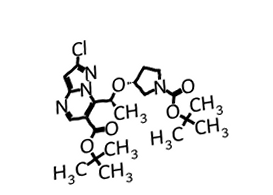 C[C@H](O[C@@H]1CCN(C(=O)OC(C)(C)C)C1)c1c(C(=O)OC(C)(C)C)cnc2cc(Cl)nn12